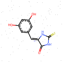 O=C1NC(=S)N/C1=C\c1cc(O)cc(O)c1